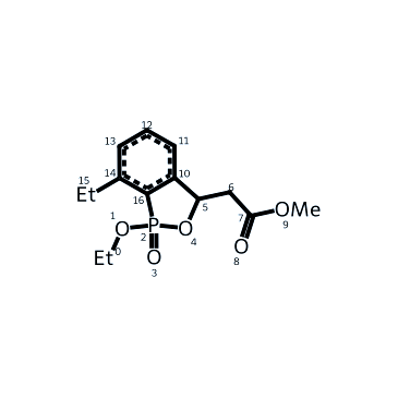 CCOP1(=O)OC(CC(=O)OC)c2cccc(CC)c21